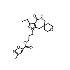 CCc1nn(CCCOC(=O)c2cc(C)no2)c2c1C(=O)NCC1(CCOCC1)C2